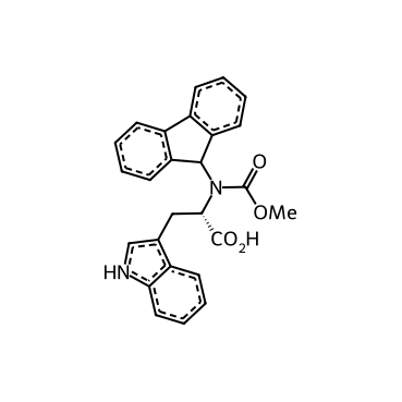 COC(=O)N(C1c2ccccc2-c2ccccc21)[C@@H](Cc1c[nH]c2ccccc12)C(=O)O